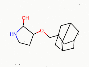 OC1NCCC1OCC12CC3CC(CC(C3)C1)C2